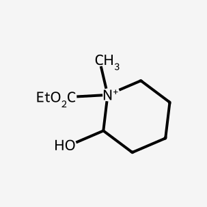 CCOC(=O)[N+]1(C)CCCCC1O